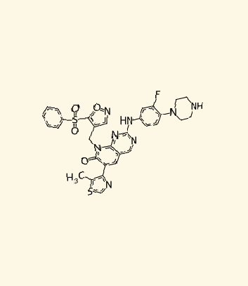 Cc1scnc1-c1cc2cnc(Nc3ccc(N4CCNCC4)c(F)c3)nc2n(Cc2cnoc2S(=O)(=O)c2ccccc2)c1=O